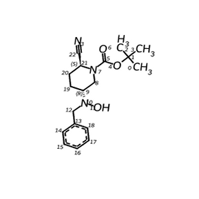 CC(C)(C)OC(=O)N1C[C@H](N(O)Cc2ccccc2)CC[C@H]1C#N